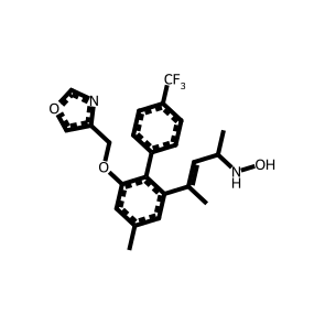 CC(=CC(C)NO)c1cc(C)cc(OCc2cocn2)c1-c1ccc(C(F)(F)F)cc1